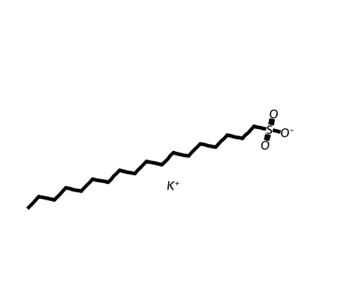 CCCCCCCCCCCCCCCCCCS(=O)(=O)[O-].[K+]